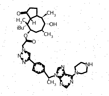 CCC(C)[C@]1(C)[C@@H]2C(=O)CCC2[C@@H](C)[C@H](O)[C@@H](C)C[C@H]1OC(=O)Cn1cc(-c2ccc([C@@H](C)n3cnc4c(N5CCNCC5)ncnc43)cc2)nn1